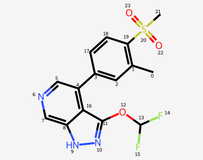 Cc1cc(-c2cncc3[nH]nc(OC(F)F)c23)ccc1S(C)(=O)=O